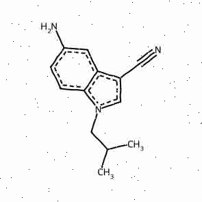 CC(C)Cn1cc(C#N)c2cc(N)ccc21